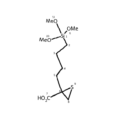 CO[Si](CCCCC1(C(=O)O)CS1)(OC)OC